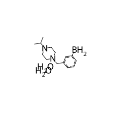 Bc1cccc(CN2CCN(C(C)C)CC2)c1.O.O